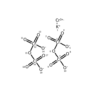 [Cr+3].[K+].[O]=[Cr](=[O])([O-])[O][Cr](=[O])(=[O])[O-].[O]=[Cr](=[O])([O-])[O][Cr](=[O])(=[O])[O-]